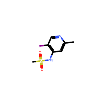 Cc1cc(NS(C)(=O)=O)c(I)cn1